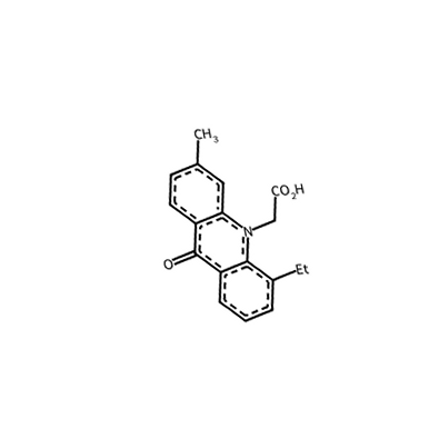 CCc1cccc2c(=O)c3ccc(C)cc3n(CC(=O)O)c12